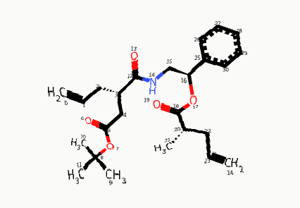 C=CC[C@@H](CC(=O)OC(C)(C)C)C(=O)NC[C@H](OC(=O)[C@@H](C)CC=C)c1ccccc1